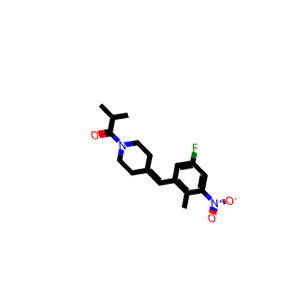 Cc1c(C=C2CCN(C(=O)C(C)C)CC2)cc(F)cc1[N+](=O)[O-]